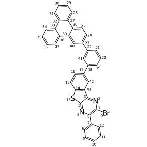 Brc1nc2c(nc1-c1ccccc1)sc1ccc(-c3cccc(-c4ccc5c6ccccc6c6ccccc6c5c4)c3)cc12